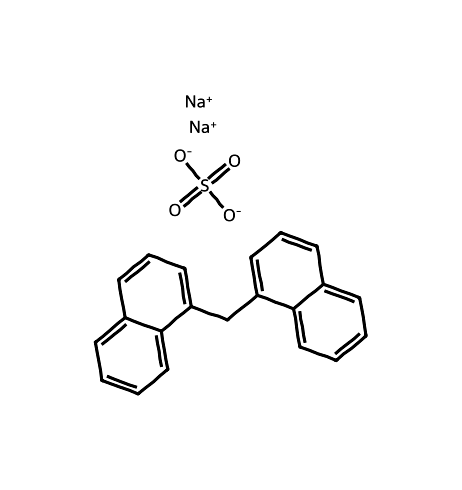 O=S(=O)([O-])[O-].[Na+].[Na+].c1ccc2c(Cc3cccc4ccccc34)cccc2c1